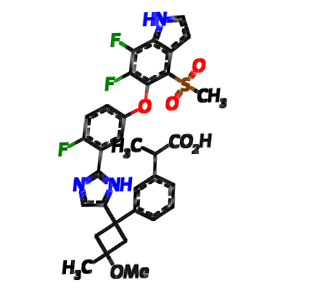 COC1(C)CC(c2cccc(C(C)C(=O)O)c2)(c2cnc(-c3cc(Oc4c(F)c(F)c5[nH]ccc5c4S(C)(=O)=O)ccc3F)[nH]2)C1